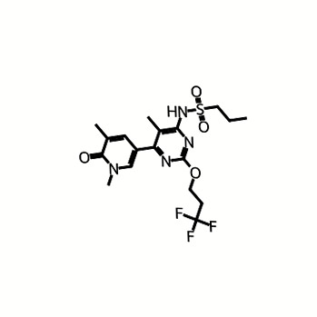 CCCS(=O)(=O)Nc1nc(OCCC(F)(F)F)nc(-c2cc(C)c(=O)n(C)c2)c1C